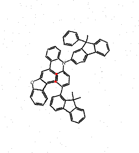 CC1(C)c2ccccc2-c2cccc(-c3ccc(N(c4ccc5c(c4)C(C)(c4ccccc4)c4ccccc4-5)c4ccccc4-c4ccc5c(c4)oc4ccccc45)cc3)c21